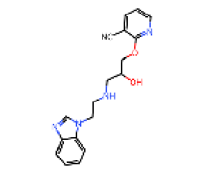 N#Cc1cccnc1OCC(O)CNCCn1cnc2ccccc21